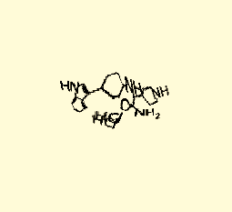 Cl.Cl.NC(=O)C(NC1CCC(c2c[nH]c3ccccc23)CC1)C1CCNCC1